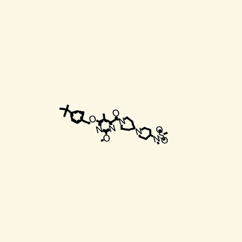 COc1nc(OCc2ccc(C(C)(C)C)cc2)c(C)c(C(=O)N2CCC(N3CCC(N(C)S(C)(=O)=O)CC3)CC2)n1